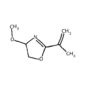 C=C(C)C1=NC(OC)CO1